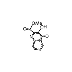 COC(=O)c1nc2ccccn2c(=O)c1O